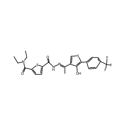 CCN(CC)C(=O)c1ccc(C(=O)N/N=C(\C)c2csc(-c3ccc(C(F)(F)F)cc3)c2O)s1